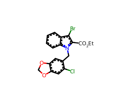 CCOC(=O)c1c(Br)c2ccccc2n1Cc1cc2c(cc1Cl)OCO2